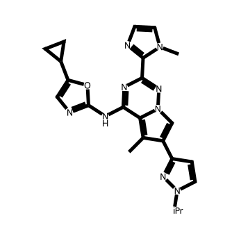 Cc1c(-c2ccn(C(C)C)n2)cn2nc(-c3nccn3C)nc(Nc3ncc(C4CC4)o3)c12